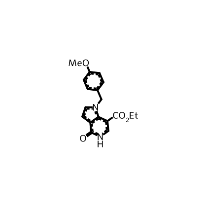 CCOC(=O)c1c[nH]c(=O)c2ccn(Cc3ccc(OC)cc3)c12